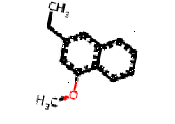 CCc1cc(OC)c2ccccc2c1